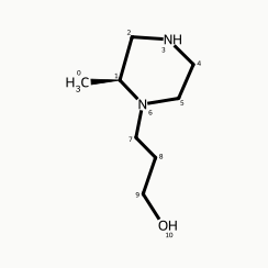 C[C@H]1CNCCN1CCCO